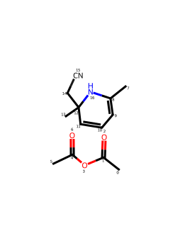 CC(=O)OC(C)=O.CC1=CC=CC(C)(CC#N)N1